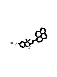 C[N+]1=C(/C=C/c2ccc3ccc4cccc5ccc2c3c45)C(C)(C)c2cc(C(=O)O)ccc21